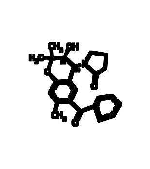 Cc1cc2c(cc1C(=O)c1ccccc1)[C@@H](N1CCCC1=O)[C@H](O)C(C)(C)O2